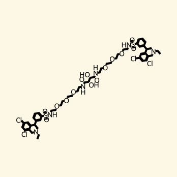 CCN1Cc2c(Cl)cc(Cl)cc2C(c2cccc(S(=O)(=O)NCCOCCOCCOCCNC(=O)C(O)C(O)C(=O)NCCOCCOCCOCCNS(=O)(=O)c3cccc(C4CN(CC)Cc5c(Cl)cc(Cl)cc54)c3)c2)C1